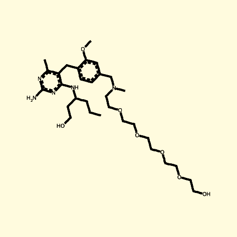 CCCC(CCO)Nc1nc(N)nc(C)c1Cc1ccc(CN(C)CCOCCOCCOCCOCCO)cc1OC